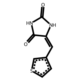 O=C1NC(=O)C(=Cc2ccsc2)N1